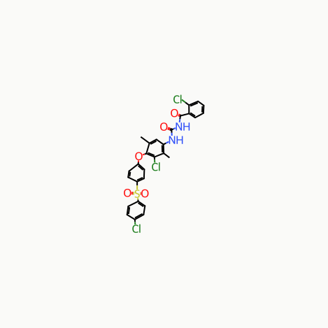 Cc1cc(NC(=O)NC(=O)c2ccccc2Cl)c(C)c(Cl)c1Oc1ccc(S(=O)(=O)c2ccc(Cl)cc2)cc1